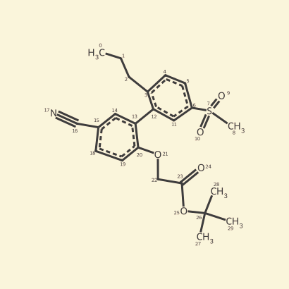 CCCc1ccc(S(C)(=O)=O)cc1-c1cc(C#N)ccc1OCC(=O)OC(C)(C)C